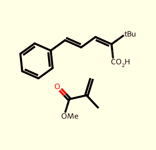 C=C(C)C(=O)OC.CC(C)(C)C(=CC=Cc1ccccc1)C(=O)O